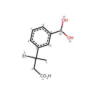 CCC(C)(CC(=O)O)c1cccc(B(O)O)c1